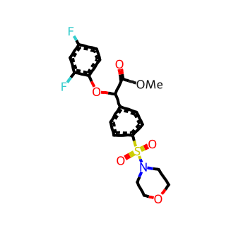 COC(=O)C(Oc1ccc(F)cc1F)c1ccc(S(=O)(=O)N2CCOCC2)cc1